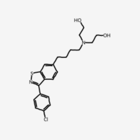 OCCN(CCO)CCCCc1ccc2c(-c3ccc(Cl)cc3)nsc2c1